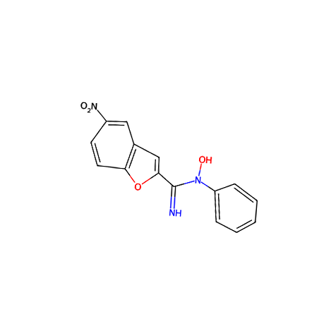 N=C(c1cc2cc([N+](=O)[O-])ccc2o1)N(O)c1ccccc1